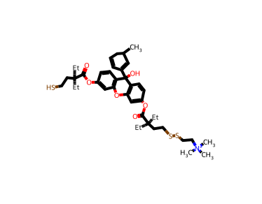 CCC(CC)(CCS)C(=O)Oc1ccc2c(c1)Oc1cc(OC(=O)C(CC)(CC)CCSSCC[N+](C)(C)C)ccc1C2(O)C1=CC(C)CC=C1